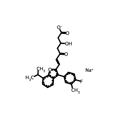 Cc1cc(-c2c(C=CC(=O)CC(O)CC(=O)[O-])oc3c(C(C)C)cccc23)ccc1F.[Na+]